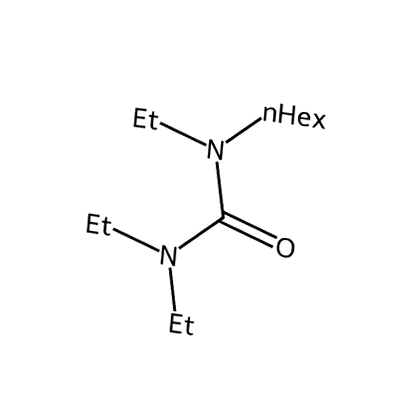 CCCCCCN(CC)C(=O)N(CC)CC